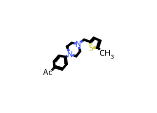 CC(=O)c1ccc(N2CCN(Cc3ccc(C)s3)CC2)cc1